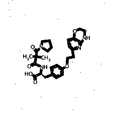 CC(C)(C(=O)N[C@@H](Cc1ccc(OCCc2ccc3c(n2)NCCO3)cc1)C(=O)O)C(=O)N1CCCC1